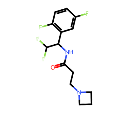 O=C(CCN1CCC1)NC(c1cc(F)ccc1F)C(F)F